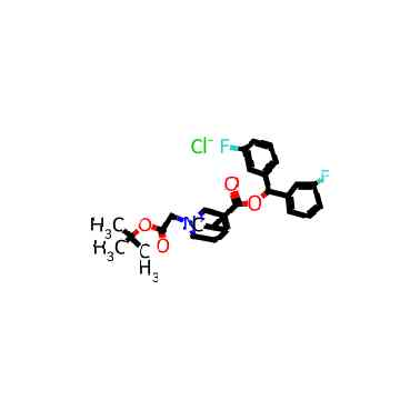 CC(C)(C)OC(=O)C[N+]12CCC(CC1)C(C(=O)OC(c1cccc(F)c1)c1cccc(F)c1)C2.[Cl-]